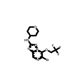 FC(F)(F)COc1c(Br)ncc2nc(NC3CCOCC3)nn12